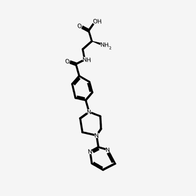 N[C@@H](CNC(=O)c1ccc(N2CCN(c3ncccn3)CC2)cc1)C(=O)O